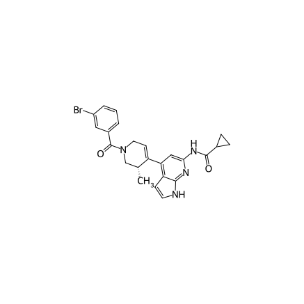 C[C@@H]1CN(C(=O)c2cccc(Br)c2)CC=C1c1cc(NC(=O)C2CC2)nc2[nH]ccc12